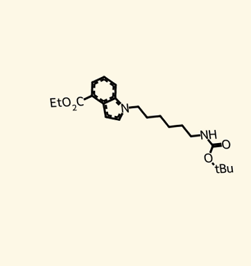 CCOC(=O)c1cccc2c1ccn2CCCCCCNC(=O)OC(C)(C)C